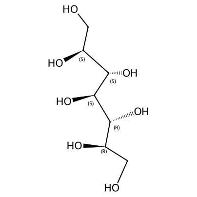 OC[C@@H](O)[C@@H](O)[C@@H](O)[C@@H](O)[C@@H](O)CO